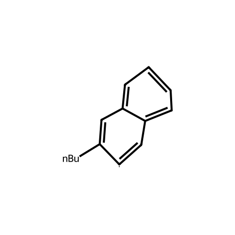 CCCCc1[c]cc2ccccc2c1